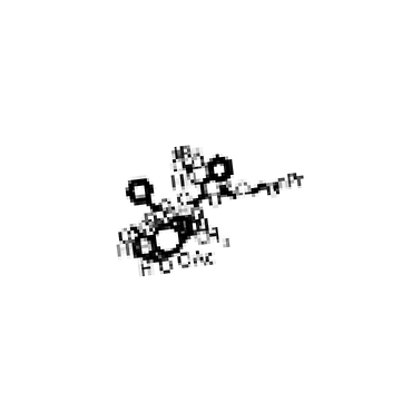 CCCOCCOCC(=O)O[C@@H](C(=O)O[C@H]1C[C@@]2(O)[C@@H](OC(=O)c3ccccc3)[C@@H]3[C@]4(OC(C)=O)CO[C@@H]4C[C@@H]4C[C@@]43C(=O)[C@H](OC(C)=O)C(=C1C)C2(C)C)[C@@H](NC(=O)OC(C)(C)C)c1ccccc1